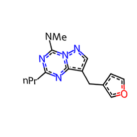 CCCc1nc(NC)n2ncc(Cc3ccoc3)c2n1